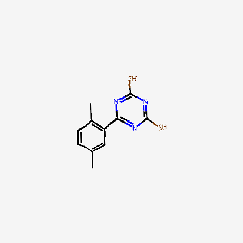 Cc1ccc(C)c(-c2nc(S)nc(S)n2)c1